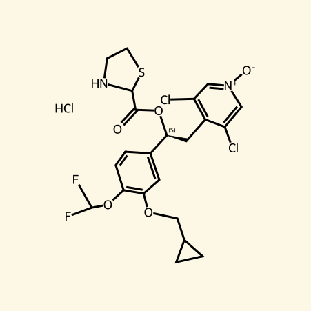 Cl.O=C(O[C@@H](Cc1c(Cl)c[n+]([O-])cc1Cl)c1ccc(OC(F)F)c(OCC2CC2)c1)C1NCCS1